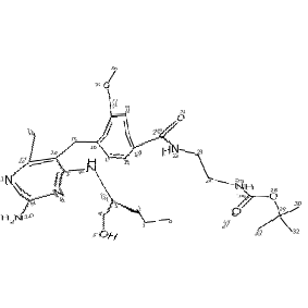 CCC[C@@H](CO)Nc1nc(N)nc(C)c1Cc1ccc(C(=O)NCCNC(=O)OC(C)(C)C)cc1OC